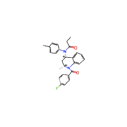 CCC(=O)N(c1ccc(C)cc1)[C@H]1C[C@@H](C)N(C(=O)c2ccc(F)cc2)c2ccccc21